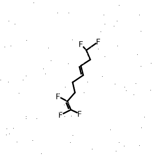 FC(F)=C(F)CCC=CCC(F)F